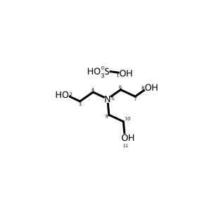 O=S(=O)(O)O.OCCN(CCO)CCO